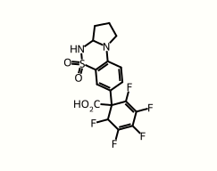 O=C(O)C1(c2ccc3c(c2)S(=O)(=O)NC2CCCN32)C(F)=C(F)C(F)=C(F)C1F